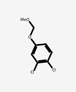 COCOc1c[c]c(Cl)c(Cl)c1